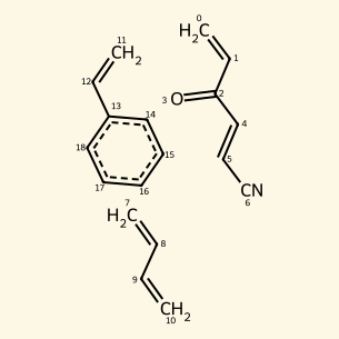 C=CC(=O)C=CC#N.C=CC=C.C=Cc1ccccc1